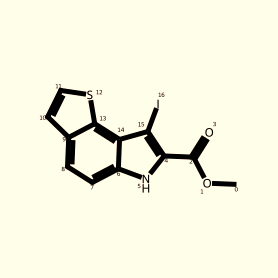 COC(=O)c1[nH]c2ccc3ccsc3c2c1I